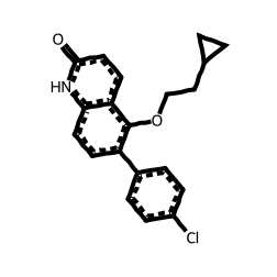 O=c1ccc2c(OCCC3CC3)c(-c3ccc(Cl)cc3)ccc2[nH]1